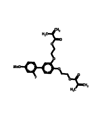 C=C(C)C(=O)OCCOc1ccc(-c2ccc(OC)cc2F)cc1OCCOC(=O)C(=C)C